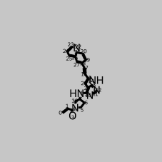 C=CC(=O)N1CCC(Nc2ncnc3[nH]c(C#Cc4ccc5ncccc5c4)cc23)C1